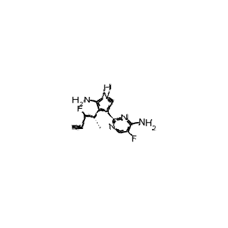 C=CC(F)[C@@H](C)c1c(-c2ncc(F)c(N)n2)c[nH]c1N